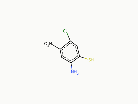 Nc1cc([N+](=O)[O-])c(Cl)cc1S